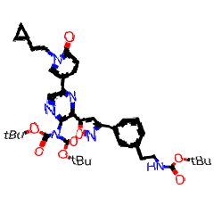 CC(C)(C)OC(=O)NCCc1cccc(-c2cc(-c3nc(-c4ccc(=O)n(CCC5CC5)c4)cnc3N(C(=O)OC(C)(C)C)C(=O)OC(C)(C)C)on2)c1